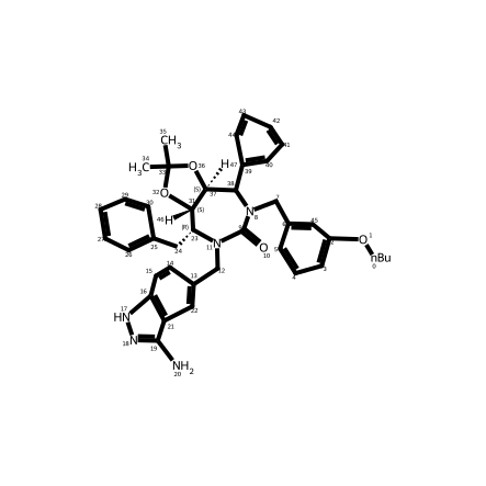 CCCCOc1cccc(CN2C(=O)N(Cc3ccc4[nH]nc(N)c4c3)[C@H](Cc3ccccc3)[C@@H]3OC(C)(C)O[C@H]3C2c2ccccc2)c1